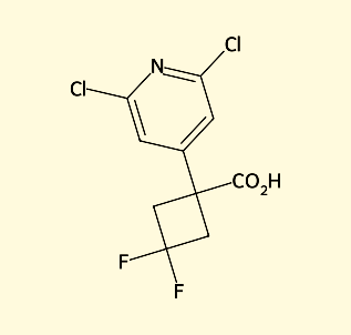 O=C(O)C1(c2cc(Cl)nc(Cl)c2)CC(F)(F)C1